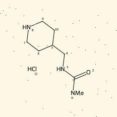 CNC(=O)NCC1CCNCC1.Cl